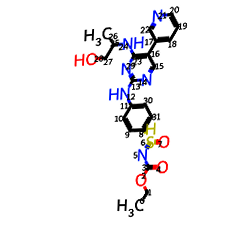 CCOC(=O)/N=[SH](=O)/c1ccc(Nc2ncc(-c3cccnc3)c(N[C@H](C)CO)n2)cc1